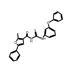 Cc1oc(-c2ccccc2)cc1C(=O)NC(=S)Nc1cccc(Oc2ccccc2)c1